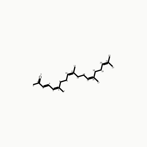 CC(=O)C=CC=C(C)CCC=C(C)CCC=C(C)CCC=C(C)C